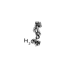 CN(CCCOc1ccc2c(c1)CCC(CN1CCCC1)C2)c1cccnc1